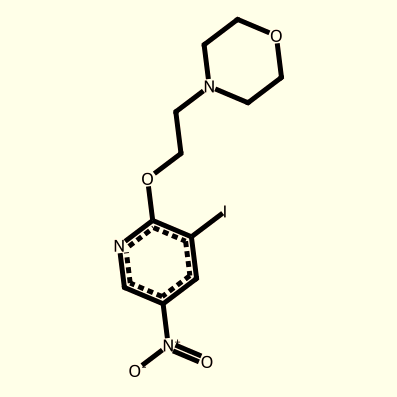 O=[N+]([O-])c1cnc(OCCN2CCOCC2)c(I)c1